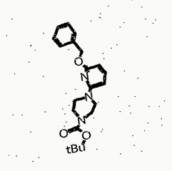 CC(C)(C)OC(=O)N1CCN(c2cccc(OCc3ccccc3)n2)CC1